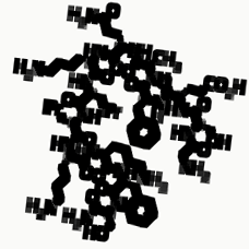 CC(C)C[C@H](NC(=O)[C@H](CCCCN)NC(=O)[C@H](CCC(N)=O)NC(=O)[C@H](C)NC(=O)[C@H](Cc1ccccc1)NC(=O)[C@H](CCC(=O)O)NC(=O)[C@H](CO)NC(=O)CN)C(=O)N[C@@H](CC(C)C)C(=O)N[C@@H](CCCCN)C(=O)N[C@@H](CCCCN)C(=O)N[C@@H](Cc1ccccc1)C(=O)N[C@@H](CO)C(N)=O